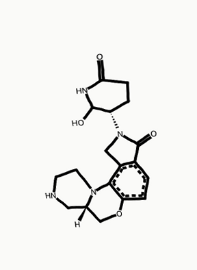 O=C1CC[C@H](N2Cc3c(ccc4c3N3CCNC[C@H]3CO4)C2=O)C(O)N1